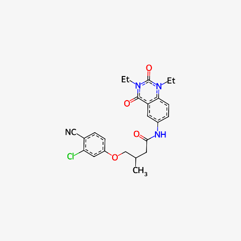 CCn1c(=O)c2cc(NC(=O)CC(C)COc3ccc(C#N)c(Cl)c3)ccc2n(CC)c1=O